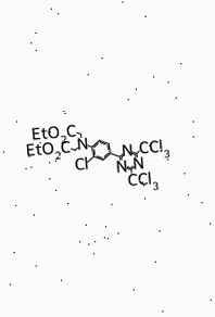 CCOC(=O)CN(CC(=O)OCC)c1ccc(-c2nc(C(Cl)(Cl)Cl)nc(C(Cl)(Cl)Cl)n2)cc1Cl